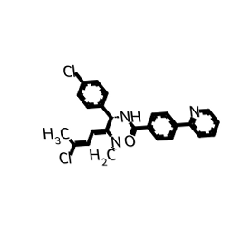 C=N/C(=C\C=C(/C)Cl)[C@@H](NC(=O)c1ccc(-c2ccccn2)cc1)c1ccc(Cl)cc1